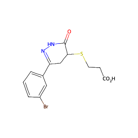 O=C(O)CCSC1CC(c2cccc(Br)c2)=NNC1=O